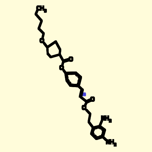 CCCCCOC1CCC(C(=O)Oc2ccc(/C=C/C(=O)OCCc3ccc(N)cc3N)cc2)CC1